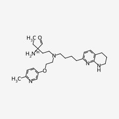 CC[C@](N)(C=O)CCN(CCCCc1ccc2c(n1)NCCC2)CCOc1ccc(C)nc1